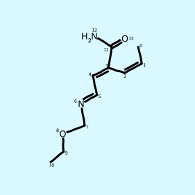 C\C=C/C(=C\C=N\COCC)C(N)=O